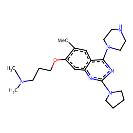 COc1cc2c(N3CCNCC3)nc(N3CCCC3)nc2cc1OCCCN(C)C